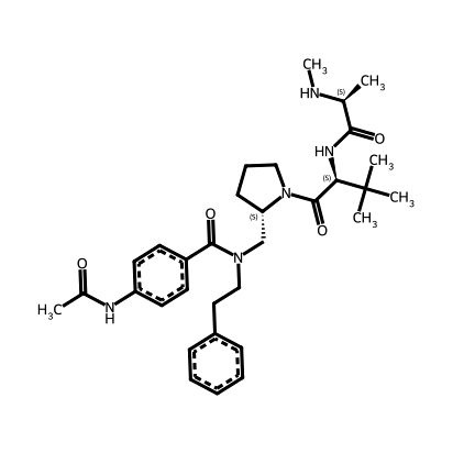 CN[C@@H](C)C(=O)N[C@H](C(=O)N1CCC[C@H]1CN(CCc1ccccc1)C(=O)c1ccc(NC(C)=O)cc1)C(C)(C)C